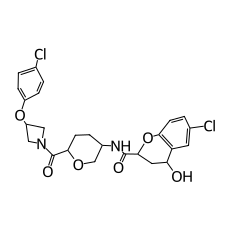 O=C(NC1CCC(C(=O)N2CC(Oc3ccc(Cl)cc3)C2)OC1)C1CC(O)c2cc(Cl)ccc2O1